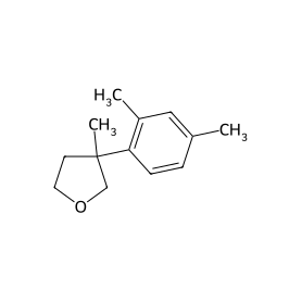 Cc1ccc(C2(C)CCOC2)c(C)c1